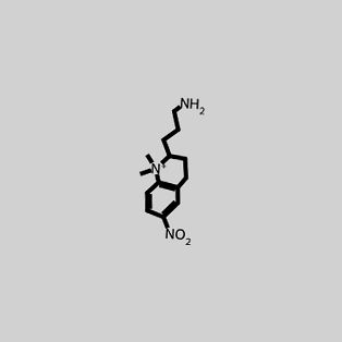 C[N+]1(C)c2ccc([N+](=O)[O-])cc2CCC1CCCN